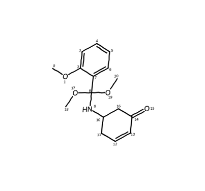 COc1ccccc1C(NC1CC=CC(=O)C1)(OC)OC